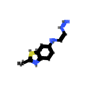 Cc1nc2ccc(N/C=C\N=N)cc2s1